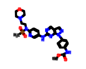 CC(C)(C)OC(=O)Nc1ccc(-n2ncc3cnc(Nc4ccc(N(CCN5CCOCC5)S(C)(=O)=O)nc4)nc32)cc1